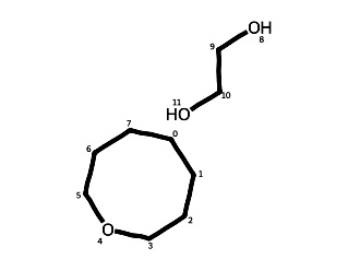 C1CCCOCCC1.OCCO